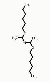 CCCCCCOC(C)[N]C(C)OCCCCCC